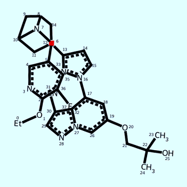 CCOc1ncc(CN2C3CC2CN(c2ccn(-c4cc(OCC(C)(C)O)cn5ncc(C#N)c45)n2)C3)cc1F